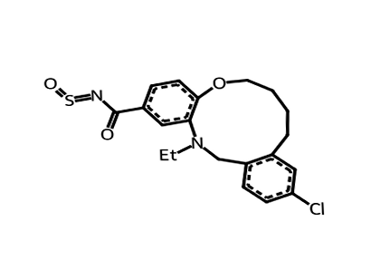 CCN1Cc2ccc(Cl)cc2CCCCOc2ccc(C(=O)N=S=O)cc21